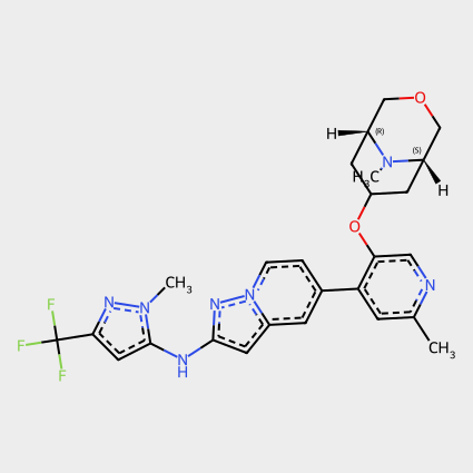 Cc1cc(-c2ccn3nc(Nc4cc(C(F)(F)F)nn4C)cc3c2)c(OC2C[C@H]3COC[C@@H](C2)N3C)cn1